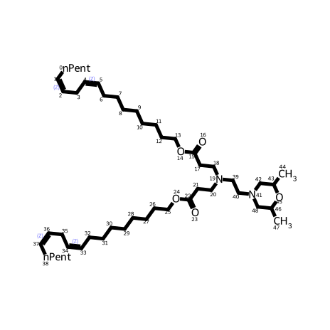 CCCCC/C=C\C/C=C\CCCCCCCCOC(=O)CCN(CCC(=O)OCCCCCCCC/C=C\C/C=C\CCCCC)CCN1CC(C)OC(C)C1